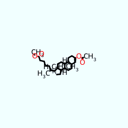 COC(=O)CCCC[C@@H](C)[C@H]1CC[C@H]2[C@@H]3CC=C4C=C(OC(C)=O)CC[C@]4(C)[C@H]3CC[C@]12C